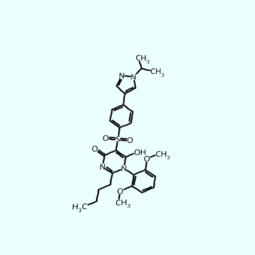 CCCCc1nc(=O)c(S(=O)(=O)c2ccc(-c3cnn(C(C)C)c3)cc2)c(O)n1-c1c(OC)cccc1OC